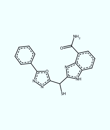 NC(=O)c1cccc2[nH]c(C(S)c3nnc(-c4ccccc4)o3)nc12